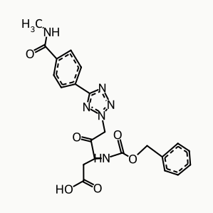 CNC(=O)c1ccc(-c2nnn(CC(=O)C(CC(=O)O)NC(=O)OCc3ccccc3)n2)cc1